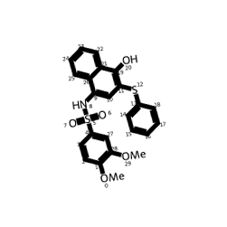 COc1ccc(S(=O)(=O)Nc2cc(Sc3ccccc3)c(O)c3ccccc23)cc1OC